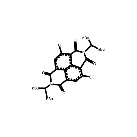 CCCCC(CCCC)N1C(=O)c2cc(Cl)c3c4c(c(Cl)cc(c24)C1=O)C(=O)N(C(CCCC)CCCC)C3=O